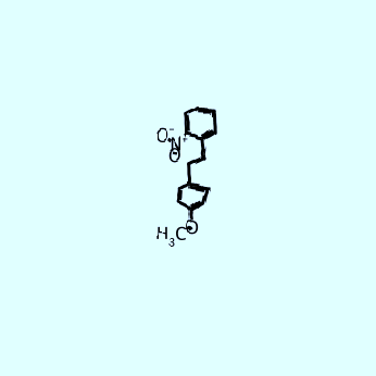 COc1ccc(CCc2ccccc2[N+](=O)[O-])cc1